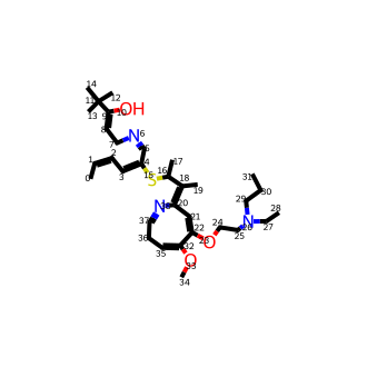 C\C=C/C=C(\C=N/C/C=C(\O)C(C)(C)C)SC(C)/C(C)=C1/C=C(OCCN(CC)CCC)\C(OC)=C/C\C=N/1